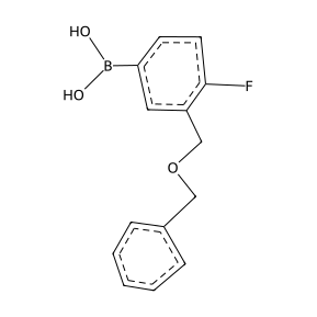 OB(O)c1ccc(F)c(COCc2ccccc2)c1